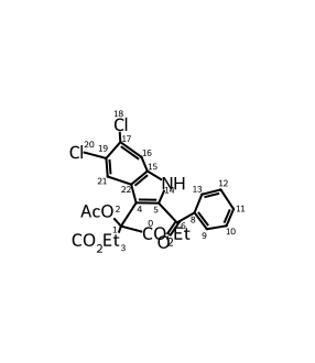 CCOC(=O)C(OC(C)=O)(C(=O)OCC)c1c(C(=O)c2ccccc2)[nH]c2cc(Cl)c(Cl)cc12